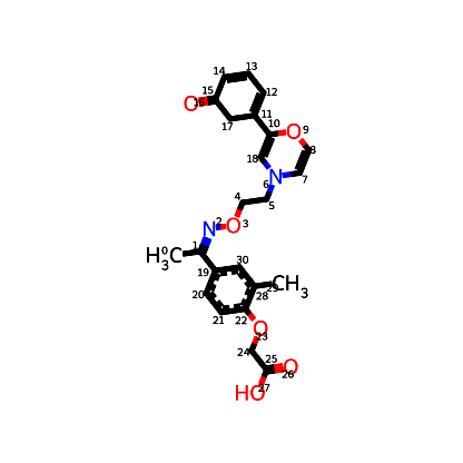 CC(=NOCCN1C=COC(C2=CC=CC(=O)C2)=C1)c1ccc(OCC(=O)O)c(C)c1